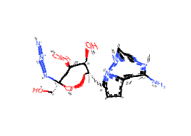 [N-]=[N+]=N[C@]1(CO)O[C@@H](c2ccc3c(N)ncnn23)[C@H](O)[C@@H]1O